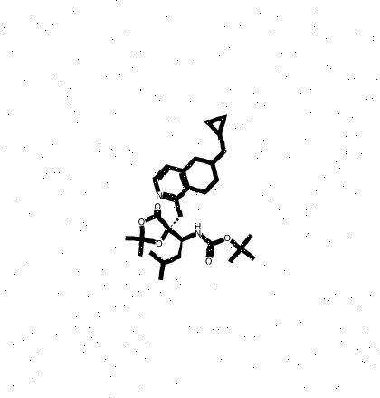 CC(C)C[C@H](NC(=O)OC(C)(C)C)[C@@]1(Cc2nccc3c2CCC(CC2CC2)C3)OC(C)(C)OC1=O